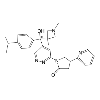 CC(C)c1ccc([C@](O)(c2cnnc(N3CC(c4ccccn4)CC3=O)c2)C2(C)CN(C)C2)cc1